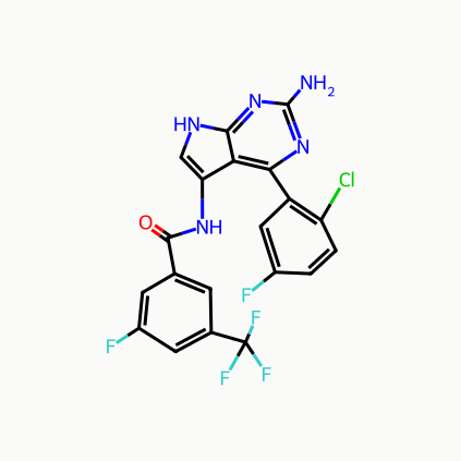 Nc1nc(-c2cc(F)ccc2Cl)c2c(NC(=O)c3cc(F)cc(C(F)(F)F)c3)c[nH]c2n1